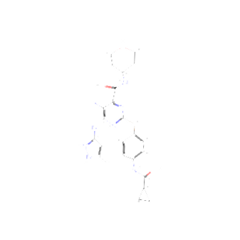 Cc1cc(Nc2nc(Sc3ccc(NC(=O)C4CC4)cc3)nc(C(=O)NC3CCOCC3)c2N)n[nH]1